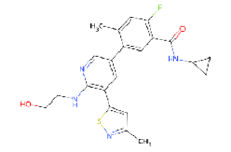 Cc1cc(-c2cc(-c3cc(C(=O)NC4CC4)c(F)cc3C)cnc2NCCO)sn1